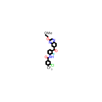 COCCOc1cnc2ccc(C(=O)c3cccc(NC(=O)c4ccc(C(F)(F)F)c(Cl)c4)c3F)cc2n1